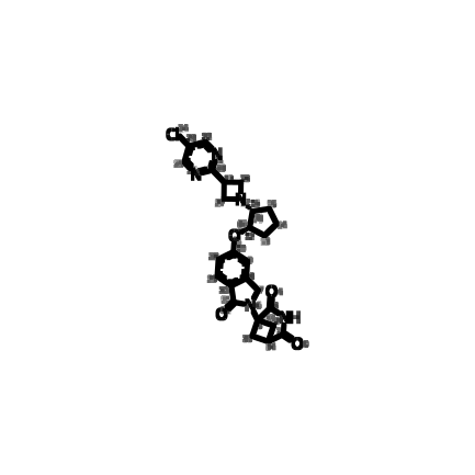 O=C1NC(=O)C2(N3Cc4cc(O[C@@H]5CCC[C@H]5N5CC(c6ncc(Cl)cn6)C5)ccc4C3=O)CC1C2